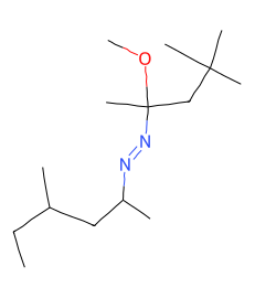 CCC(C)CC(C)N=NC(C)(CC(C)(C)C)OC